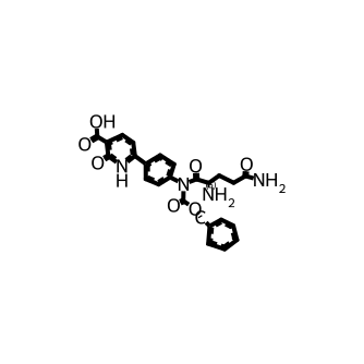 NC(=O)CC[C@H](N)C(=O)N(C(=O)OCc1ccccc1)c1ccc(-c2ccc(C(=O)O)c(=O)[nH]2)cc1